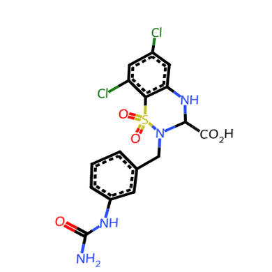 NC(=O)Nc1cccc(CN2C(C(=O)O)Nc3cc(Cl)cc(Cl)c3S2(=O)=O)c1